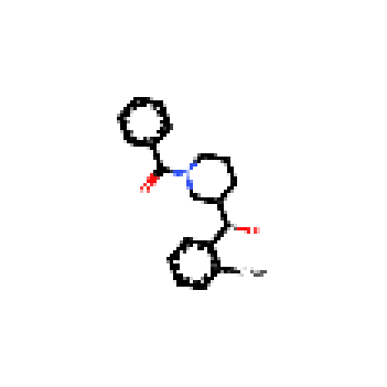 COc1ccccc1[C@H](O)C1CCCN(C(=O)c2ccccc2)C1